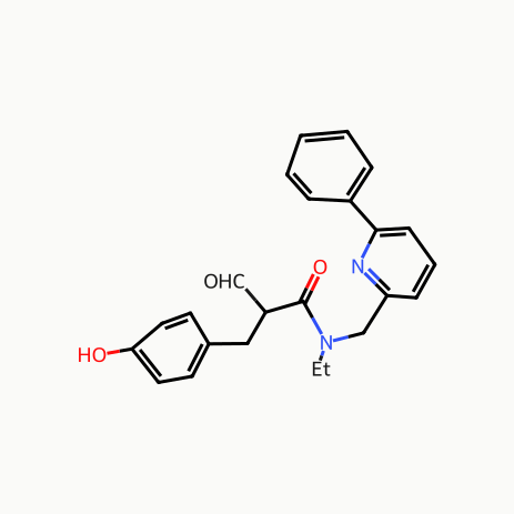 CCN(Cc1cccc(-c2ccccc2)n1)C(=O)C(C=O)Cc1ccc(O)cc1